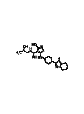 CC(O)CNC(=N)c1c(O)nsc1Nc1ccc(-c2nc3ccccc3[nH]2)cc1